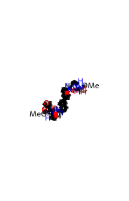 COC(=O)N[C@H](C(=O)N1CCC[C@H]1c1nc2ccc3cc(-c4ccc5c(c4)CCc4nc([C@@H]6[C@H]7CC[C@H](C7)N6C(=O)[C@@H](NC(=O)OC)C6CCOCC6)[nH]c4-5)ccc3c2[nH]1)C(C)C